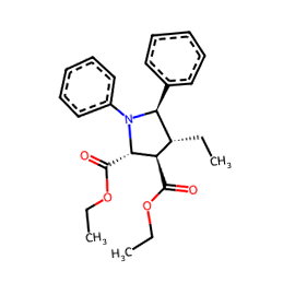 CCOC(=O)[C@@H]1[C@@H](CC)[C@H](c2ccccc2)N(c2ccccc2)[C@H]1C(=O)OCC